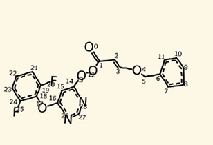 O=C(C=COCc1ccccc1)OOc1cc(Oc2c(F)cccc2F)ncn1